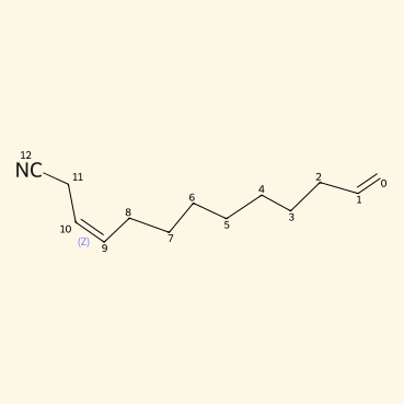 C=CCCCCCCC/C=C\CC#N